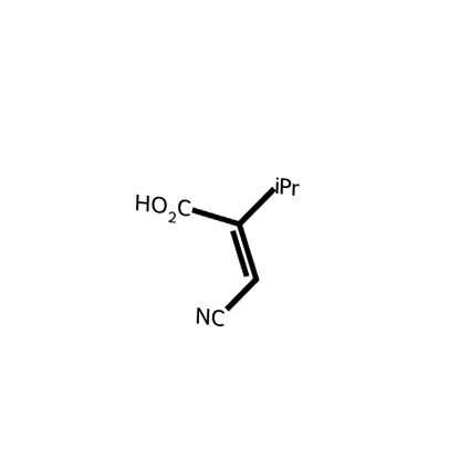 CC(C)/C(=C/C#N)C(=O)O